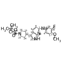 COc1ccc(Nc2ccc3c(C4CCN(C(=O)OC(C)(C)C)CC4)c[nH]c3n2)cc1F